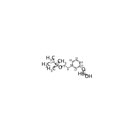 CC(C)[Si](C)(C)OCCc1cccc(OBO)c1